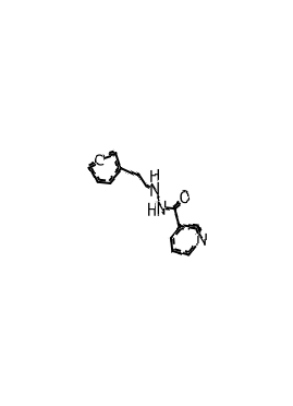 O=C(NNCCc1ccccc1)c1cccnc1